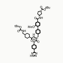 COc1cc(C(=O)N[C@@H]2CCN(C(=O)OC(C)(C)C)C2)ccc1-c1ccc(C[C@H](NC(=O)C2CCC(CNC(=O)OC(C)(C)C)CC2)C(=O)Nc2ccc(-c3nn[nH]n3)cc2)cc1